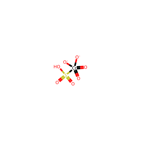 O=[S](=O)(O)[Cr](=[O])(=[O])([O-])[O-]